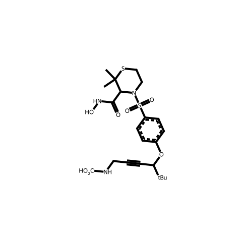 CC(C)(C)C(C#CCNC(=O)O)Oc1ccc(S(=O)(=O)N2CCSC(C)(C)C2C(=O)NO)cc1